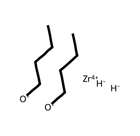 CCCC[O-].CCCC[O-].[H-].[H-].[Zr+4]